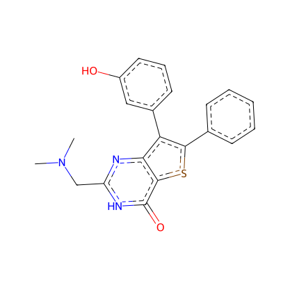 CN(C)Cc1nc2c(-c3cccc(O)c3)c(-c3ccccc3)sc2c(=O)[nH]1